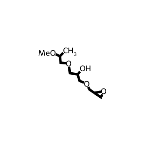 COC(C)COCC(O)COCC1CO1